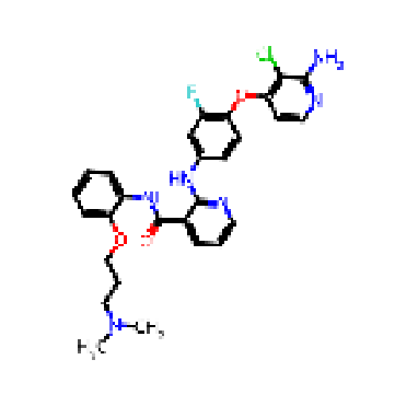 CN(C)CCCOc1ccccc1NC(=O)c1cccnc1Nc1ccc(Oc2ccnc(N)c2Cl)c(F)c1